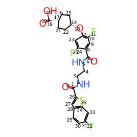 O=C(NCCNC(=O)c1cc(F)c(O[C@H]2CC[C@@H](C(=O)O)CC2)cc1F)c1cc2ccc(F)cc2s1